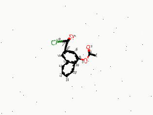 CC(=O)Oc1cc(C(=O)Cl)cc2ccccc12